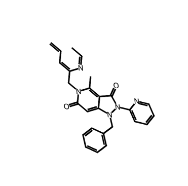 C=C/C=C(Cn1c(C)c2c(=O)n(-c3ccccn3)n(Cc3ccccc3)c2cc1=O)\N=C/C